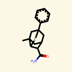 CC12CC3CC(c4ccccc4)(CC1C3C(N)=O)C2